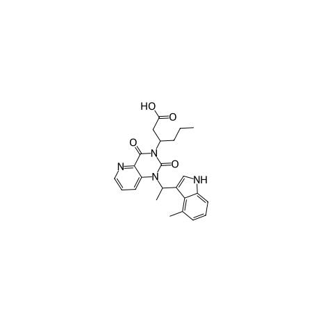 CCCC(CC(=O)O)n1c(=O)c2ncccc2n(C(C)c2c[nH]c3cccc(C)c23)c1=O